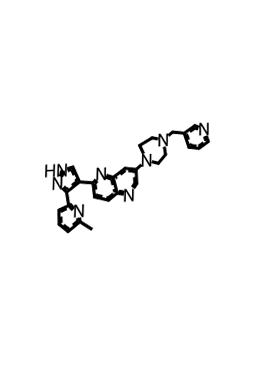 Cc1cccc(-c2n[nH]cc2-c2ccc3ncc(N4CCN(Cc5cccnc5)CC4)cc3n2)n1